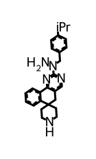 CC(C)c1ccc(CN(N)c2ncc3c(n2)-c2ccccc2C2(CCNCC2)C3)cc1